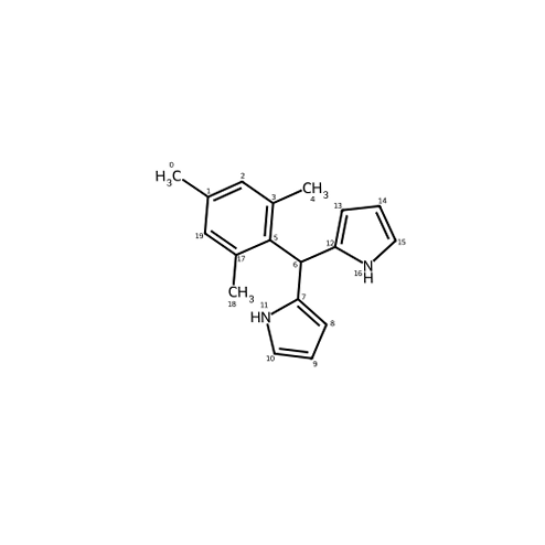 Cc1cc(C)c(C(c2ccc[nH]2)c2ccc[nH]2)c(C)c1